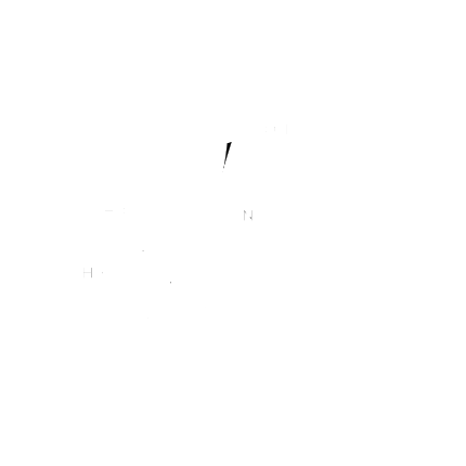 CC1(C)C2(CCC2)C12C[C@@H](CO)N(Cc1ccccc1)C2